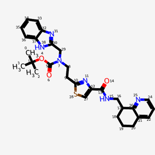 CC(C)(C)OC(=O)N(CCc1nc(C(=O)NCC2CCCc3cccnc32)cs1)Cc1nc2ccccc2[nH]1